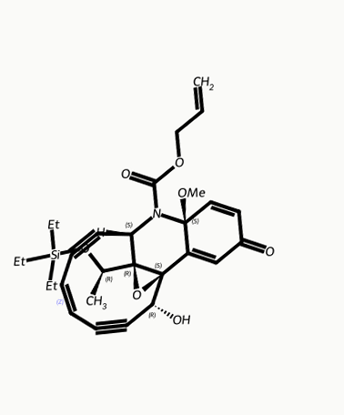 C=CCOC(=O)N1[C@H]2C#C/C=C\C#C[C@@H](O)[C@@]3(O[C@@]23[C@@H](C)O[Si](CC)(CC)CC)C2=CC(=O)C=C[C@]21OC